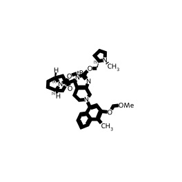 COCOc1cc(N2CCc3c(nc(OC[C@@H]4CCCN4C)nc3N3C[C@H]4CC[C@@H](C3)N4C(=O)OC(C)(C)C)C2)c2ccccc2c1C